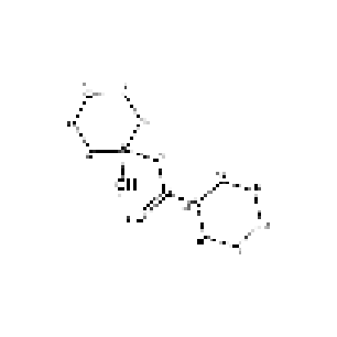 O=C(CC1(O)CCOCC1)N1CCCCC1